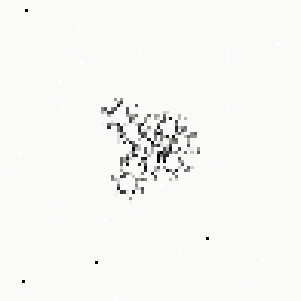 Cc1c2c(nc3ccccc13)-c1nc3ccccc3c(C)c1CC2.c1cnc2c(c1)ccc1cccnc12